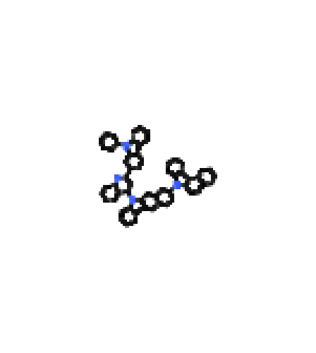 c1ccc(-n2c3ccccc3c3ccc(-c4cc(-n5c6ccccc6c6cc7ccc(-n8c9ccccc9c9c%10ccccc%10ccc98)cc7cc65)c5ccccc5n4)cc32)cc1